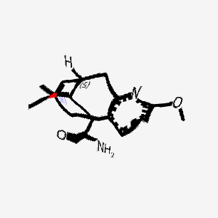 C/C=C1\[C@@H]2C=C(C)CC1(C(N)=O)c1ccc(OC)nc1C2